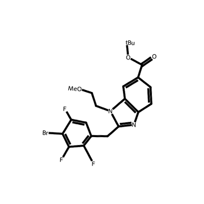 COCCn1c(Cc2cc(F)c(Br)c(F)c2F)nc2ccc(C(=O)OC(C)(C)C)cc21